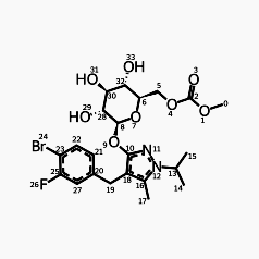 COC(=O)OC[C@H]1O[C@@H](Oc2nn(C(C)C)c(C)c2Cc2ccc(Br)c(F)c2)[C@H](O)[C@@H](O)[C@@H]1O